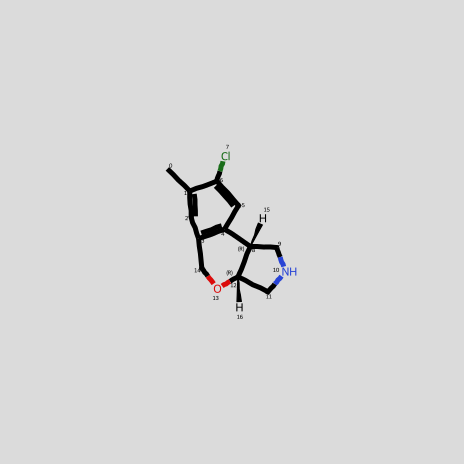 Cc1cc2c(cc1Cl)[C@@H]1CNC[C@@H]1OC2